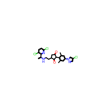 C=C(NCCC1CC(=O)C(c2c(C)cc(-n3cc(Cl)cn3)cc2C)C1=O)c1nc(Cl)ccc1Cl